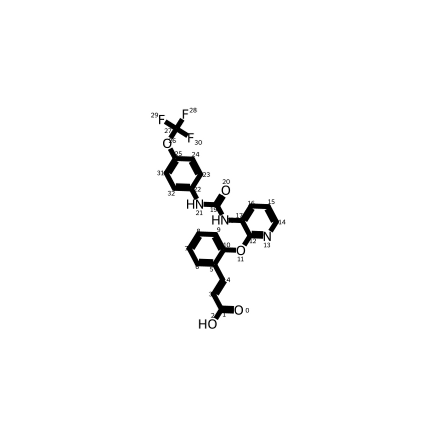 O=C(O)C=Cc1ccccc1Oc1ncccc1NC(=O)Nc1ccc(OC(F)(F)F)cc1